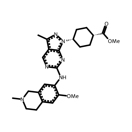 COc1cc2c(cc1Nc1ncc3c(C)nn([C@H]4CC[C@@H](C(=O)OC)CC4)c3n1)CN(C)CC2